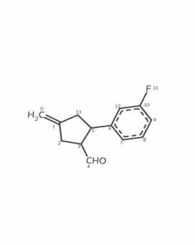 C=C1CC(C=O)C(c2cccc(F)c2)C1